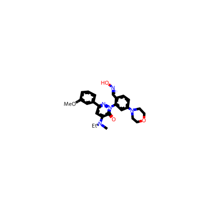 CCN(C)c1cc(-c2cccc(OC)c2)nn(-c2cc(N3CCOCC3)ccc2/C=N/O)c1=O